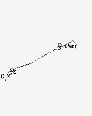 CCCCC/C=C\C/C=C\CCCCCCCC(=O)OCCCCCCCCCCCCCCCCCCCCCCCCCCCCCC(=O)Oc1ccc([N+](=O)[O-])cc1